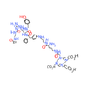 C=C(/C=C\C(=C/C)[C@@H](C(=O)N[C@H](CCCN/C(N)=N\C(=O)NCCNC(=O)CC)C(=O)NCc1ccc(O)cc1)c1ccccc1)NCCCNC(=O)[C@H](N)CCCNC(=O)CN1CCN(CC(=O)O)CCN(CC(=O)O)CCN(CC(=O)O)CC1